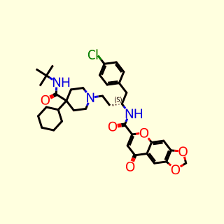 CC(C)(C)NC(=O)C1(C2CCCCC2)CCN(CC[C@H](Cc2ccc(Cl)cc2)NC(=O)c2cc(=O)c3cc4c(cc3o2)OCO4)CC1